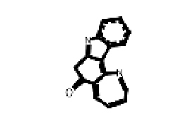 O=C1CC2=Nc3ccccc3C2=C2N=CC=CC=C12